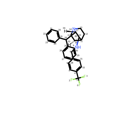 FC(F)(F)c1ccc(CN[C@@H]2C3CCN(CC3)[C@H]2C(c2ccccc2)c2ccccc2)cc1